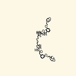 N=C(CCSCCc1nnc(NC(=O)Cc2cccc(OCCN3CCOCC3)c2)s1)SC(=N)NC(=O)Cc1cccc(OCCN2CCOCC2)c1